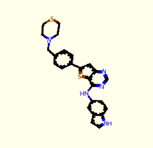 c1nc(Nc2ccc3[nH]ccc3c2)c2sc(-c3ccc(CN4CCSCC4)cc3)cc2n1